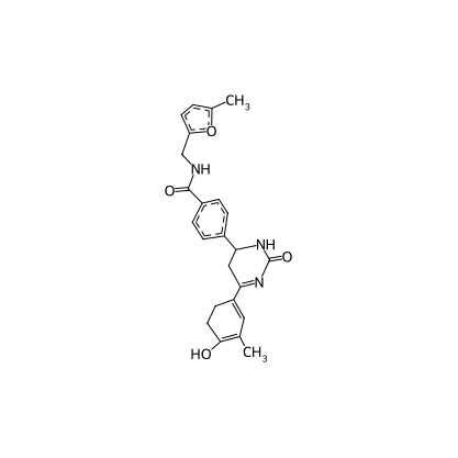 CC1=C(O)CCC(C2=NC(=O)NC(c3ccc(C(=O)NCc4ccc(C)o4)cc3)C2)=C1